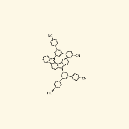 C#Cc1ccc(-c2cc(-c3ccc(C#N)cc3)cc(-n3c4ccccc4c4c3ccc3c5ccccc5n(-c5cc(-c6ccc(C#N)cc6)cc(-c6ccc(C#N)cc6)c5)c34)c2)cc1